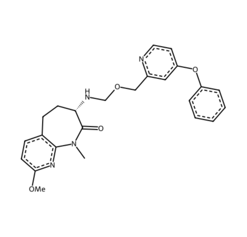 COc1ccc2c(n1)N(C)C(=O)[C@@H](NCOCc1cc(Oc3ccccc3)ccn1)CC2